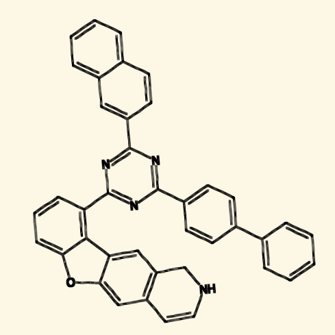 C1=Cc2cc3oc4cccc(-c5nc(-c6ccc(-c7ccccc7)cc6)nc(-c6ccc7ccccc7c6)n5)c4c3cc2CN1